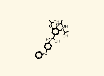 CC(O)Oc1cc(C(O)Nc2ccc(Oc3ccccc3)cc2)cc(OC(C)O)c1OC(C)O